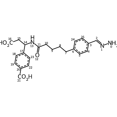 NN=Cc1ccc(CCCCC(=O)NC(CC(=O)O)c2ccc(C(=O)O)cc2)cc1